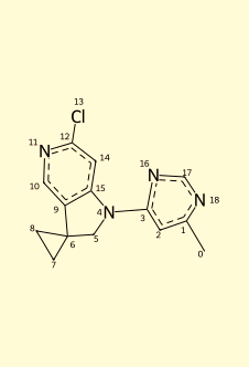 Cc1cc(N2CC3(CC3)c3cnc(Cl)cc32)ncn1